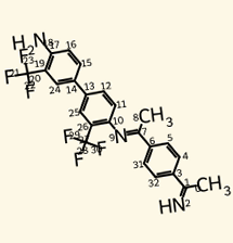 CC(=N)c1ccc(/C(C)=N/c2ccc(-c3ccc(N)c(C(F)(F)F)c3)cc2C(F)(F)F)cc1